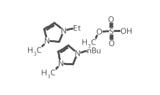 CCCCN1C=CN(C)C1.CCN1C=CN(C)C1.COS(=O)(=O)O